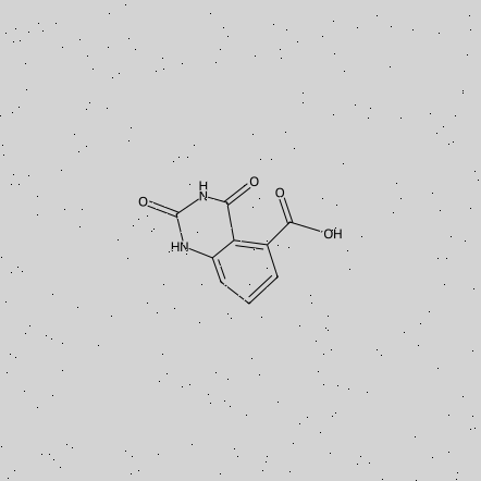 O=C(O)c1cccc2[nH]c(=O)[nH]c(=O)c12